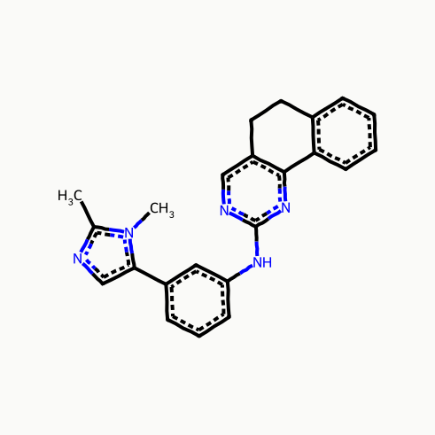 Cc1ncc(-c2cccc(Nc3ncc4c(n3)-c3ccccc3CC4)c2)n1C